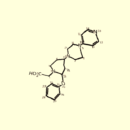 O=C(O)CN1CCC(N2CCN(c3ccncc3)CC2)CC1Oc1ccccc1